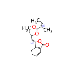 C/C=C(/C)C(=O)OC(/C=C1\OC(=O)C2=C1CCC=C2)CC